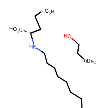 CCCCCCCCCCCCCCCCCCN[C@@H](CCC(=O)O)C(=O)O.CCCCCCCCCCCCO